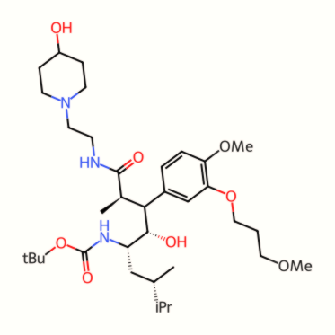 COCCCOc1cc(C([C@@H](C)C(=O)NCCN2CCC(O)CC2)[C@H](O)[C@H](C[C@H](C)C(C)C)NC(=O)OC(C)(C)C)ccc1OC